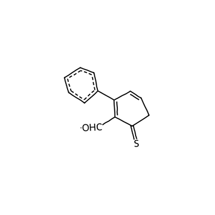 O=[C]C1=C(c2ccccc2)C=CCC1=S